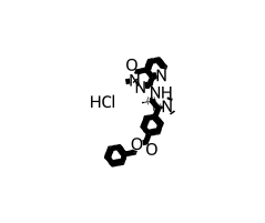 C[C@H](Nc1nn(C)c(=O)c2cccnc12)[C@H](c1ccc(C(=O)OCc2ccccc2)cc1)N(C)C.Cl